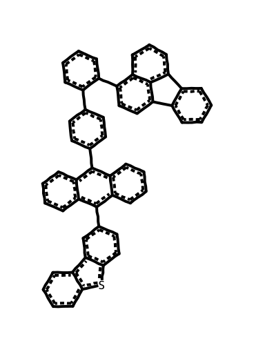 c1ccc(-c2ccc3c4c(cccc24)-c2ccccc2-3)c(-c2ccc(-c3c4ccccc4c(-c4ccc5sc6ccccc6c5c4)c4ccccc34)cc2)c1